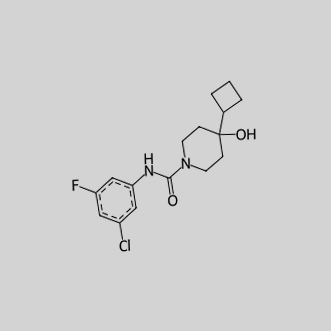 O=C(Nc1cc(F)cc(Cl)c1)N1CCC(O)(C2CCC2)CC1